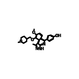 COc1ccc2c(-c3ccc(O)cc3)nc3[nH]nc(C)c3c2c1OCC1CCN(C)CC1